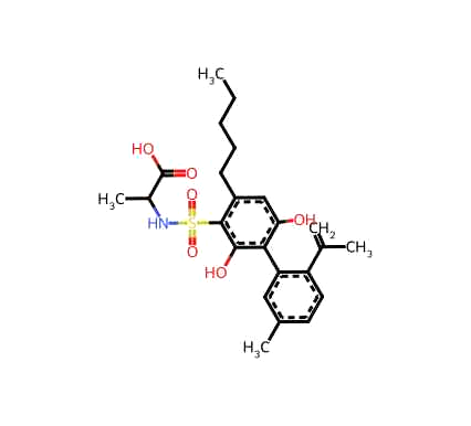 C=C(C)c1ccc(C)cc1-c1c(O)cc(CCCCC)c(S(=O)(=O)NC(C)C(=O)O)c1O